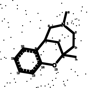 CN1CCC2(C)CC(C1)c1ccccc1O2